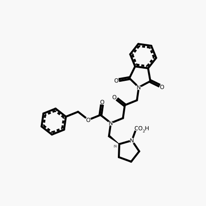 O=C(CN(C[C@@H]1CCCN1C(=O)O)C(=O)OCc1ccccc1)CN1C(=O)c2ccccc2C1=O